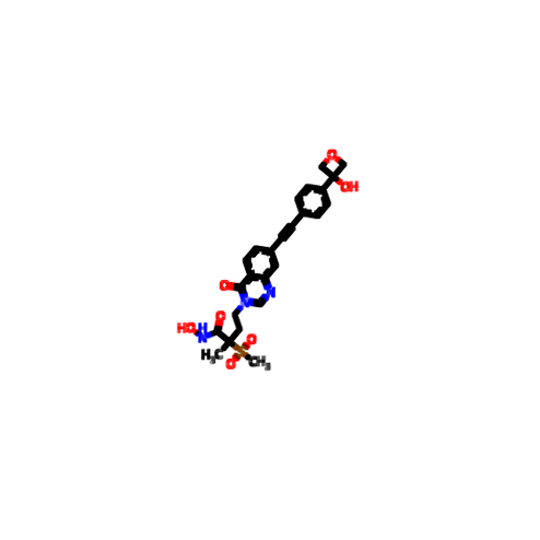 CC(CCn1cnc2cc(C#Cc3ccc(C4(O)COC4)cc3)ccc2c1=O)(C(=O)NO)S(C)(=O)=O